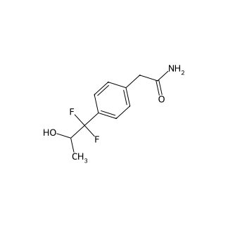 CC(O)C(F)(F)c1ccc(CC(N)=O)cc1